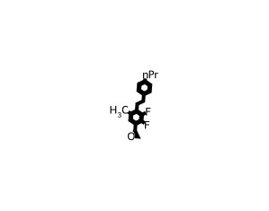 CCCc1ccc(CCc2c(C)cc(C3CO3)c(F)c2F)cc1